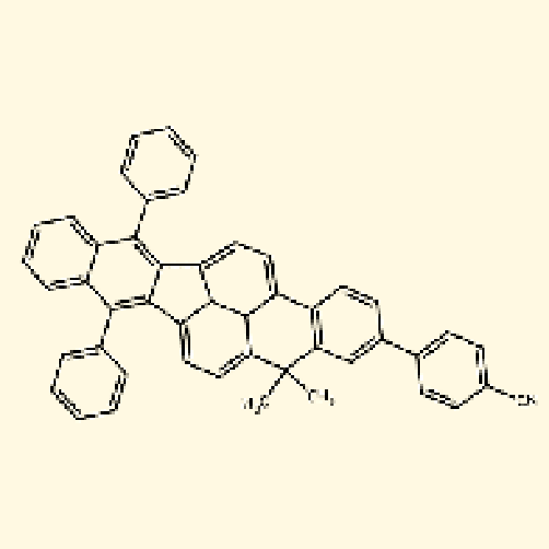 CC1(C)C2=CC=C3c4c(c(-c5ccccc5)c5ccccc5c4-c4ccccc4)C4=CC=C(c5ccc(-c6ccc(C#N)cc6)cc51)C2C43